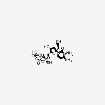 C#CC[C@]1(N2C=CC(N)N(N)C2=O)C[C@H](O)[C@@H](COP(=O)(O)OP(=O)(O)OP(=O)(O)O)O1